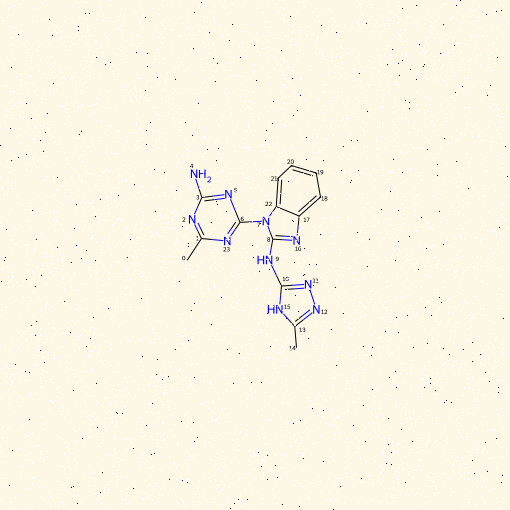 Cc1nc(N)nc(-n2c(Nc3nnc(C)[nH]3)nc3ccccc32)n1